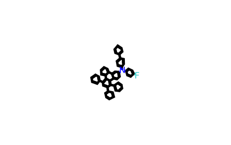 Fc1ccc(N(c2ccc(-c3ccccc3)cc2)c2ccc3c(c2)c2ccccc2c2c(-c4ccccc4)cc(-c4ccccc4)c(-c4ccccc4)c32)cc1